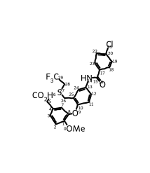 COc1ccc(CC(=O)O)cc1Oc1ccc(NC(=O)c2ccc(Cl)cc2)cc1CSCC(F)(F)F